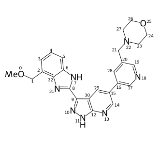 COCc1cccc2[nH]c(-c3n[nH]c4ncc(-c5cncc(CN6CCOCC6)c5)cc34)nc12